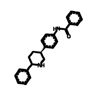 O=C(Nc1ccc([C@H]2CCC(c3ccccc3)NC2)cc1)c1ccccc1